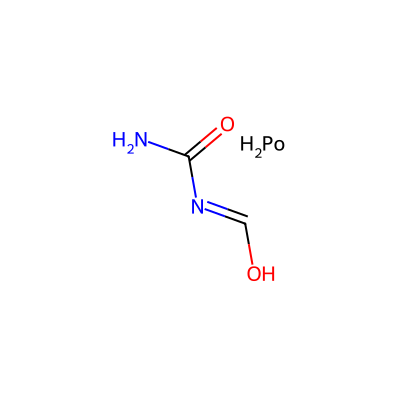 NC(=O)N=CO.[PoH2]